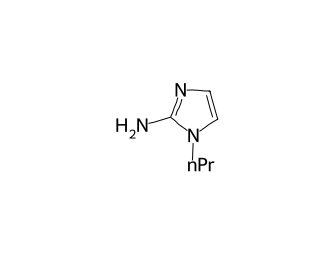 CCCn1ccnc1N